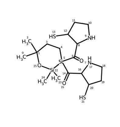 CC1(C)CC[Si](C(=O)C2NCCC2S)(C(=O)C2NCCC2S)[Si](C)(C)O1